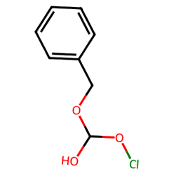 OC(OCl)OCc1ccccc1